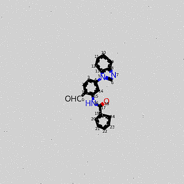 O=Cc1ccc(-n2cnc3ccccc32)cc1NC(=O)c1ccccc1